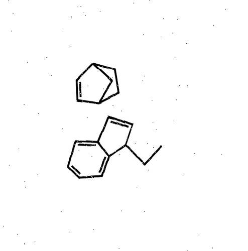 C1=CC2CCC1C2.CCC1C=Cc2ccccc21